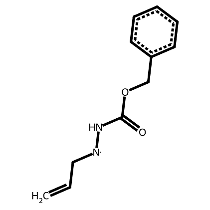 C=CC[N]NC(=O)OCc1ccccc1